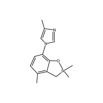 Cc1cn(-c2ccc(C)c3c2O[Si](C)(C)C3)cn1